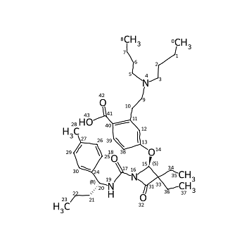 CCCCN(CCCC)CCc1cc(O[C@@H]2N(C(=O)N[C@H](CCC)c3ccc(C)cc3)C(=O)C2(CC)CC)ccc1C(=O)O